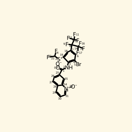 O=C(Nc1c(Br)cc(C(F)(C(F)(F)F)C(F)(F)F)cc1[S+]([O-])C(F)F)c1ccc2ccc[n+]([O-])c2c1